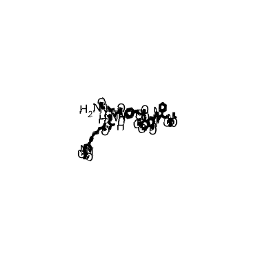 CC[C@@]1(OC(=O)OCc2ccc(NC(=O)[C@H](CCCNC(N)=O)NC(=O)[C@@H](CC(=O)CCCC#Cc3cnc(S(C)(=O)=O)nc3)C(C)C)cc2)C(=O)OCc2c1cc1n(c2=O)Cc2c-1nc1ccccc1c2CCN(C(C)C)S(C)(=O)=O